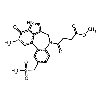 COC(=O)CCC(=O)N1Cc2c[nH]c3c(=O)n(C)cc(c23)-c2cc(CS(C)(=O)=O)ccc21